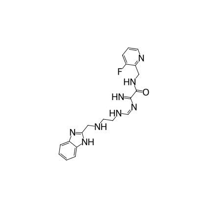 N=C(/N=C\NCCNCc1nc2ccccc2[nH]1)C(=O)NCc1ncccc1F